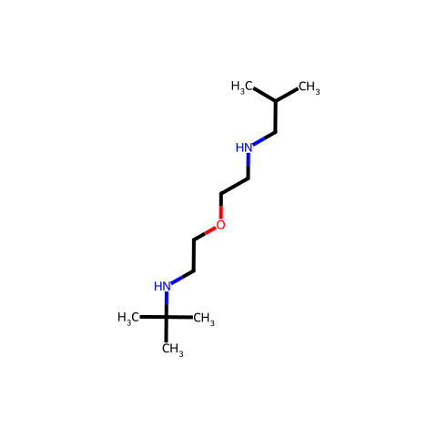 CC(C)CNCCOCCNC(C)(C)C